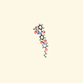 CCCCOC1CCN(S(=O)(=O)c2ccc(NC(=O)c3ccccc3N(C)S(C)(=O)=O)cc2)CC1